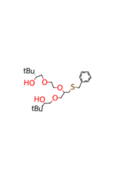 CC(C)(C)[C@@H](O)COCCOC(COC[C@H](O)C(C)(C)C)CSCc1ccccc1